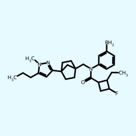 Bc1cccc(N(CC23CCC(c4cc(CCC)n(C)n4)(CC2)C3)C(=O)C2CC(F)C2CC)c1